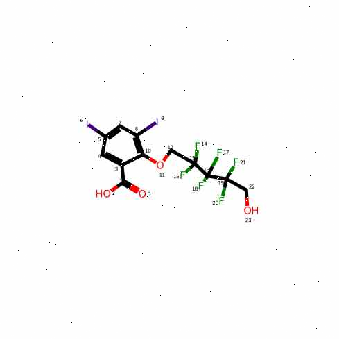 O=C(O)c1cc(I)cc(I)c1OCC(F)(F)C(F)(F)C(F)(F)CO